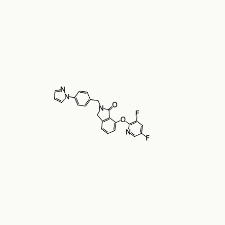 O=C1c2c(cccc2Oc2ncc(F)cc2F)CN1Cc1ccc(-n2cccn2)cc1